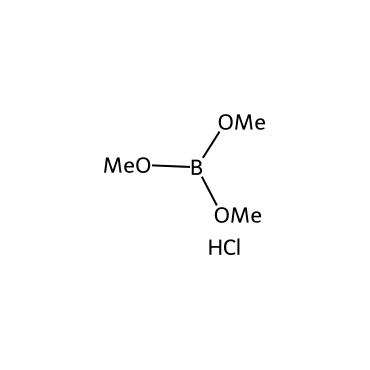 COB(OC)OC.Cl